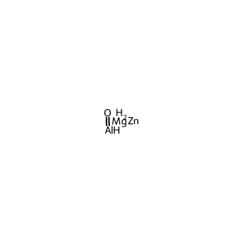 [MgH2].[O]=[AlH].[Zn]